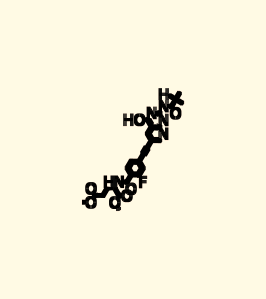 COC(=O)CC[C@@H](NC(=O)c1ccc(C#Cc2cnc3nc(NC(=O)C(C)(C)C)nc(O)c3c2)cc1F)C(=O)OC